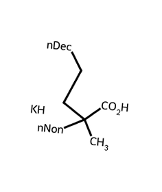 CCCCCCCCCCCCC(C)(CCCCCCCCC)C(=O)O.[KH]